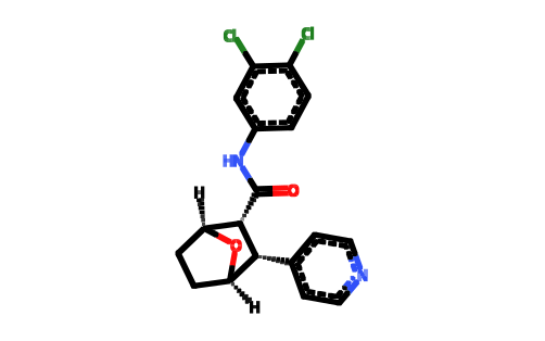 O=C(Nc1ccc(Cl)c(Cl)c1)[C@@H]1[C@H](c2ccncc2)[C@H]2CC[C@@H]1O2